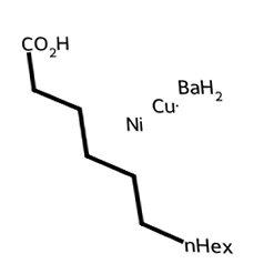 CCCCCCCCCCCC(=O)O.[BaH2].[Cu].[Ni]